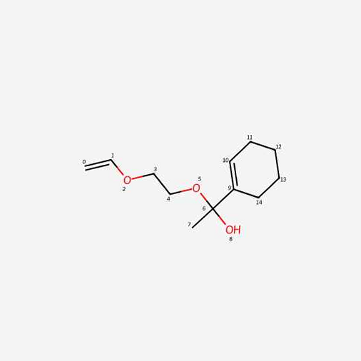 C=COCCOC(C)(O)C1=CCCCC1